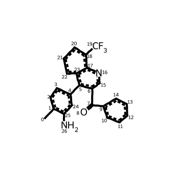 Cc1ccc(-c2c(C(=O)c3ccccc3)cnc3c(C(F)(F)F)cccc23)cc1N